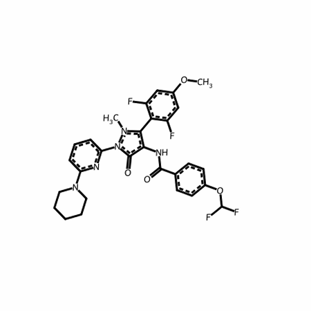 COc1cc(F)c(-c2c(NC(=O)c3ccc(OC(F)F)cc3)c(=O)n(-c3cccc(N4CCCCC4)n3)n2C)c(F)c1